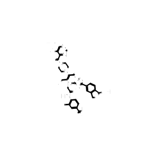 CCc1c(N2CCN(C(=O)c3ncnc(C)c3O)CC2)c(=O)n2nc(-c3ccc4c(c3)COC4C)nc2n1CC(=O)Nc1ccc(C(F)(F)F)cc1Cl